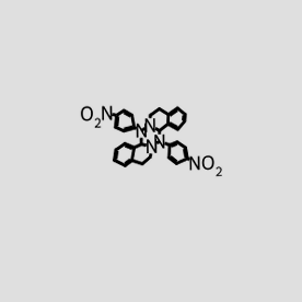 O=[N+]([O-])c1ccc(N2C3c4ccccc4CCN3N(c3ccc([N+](=O)[O-])cc3)C3c4ccccc4CCN32)cc1